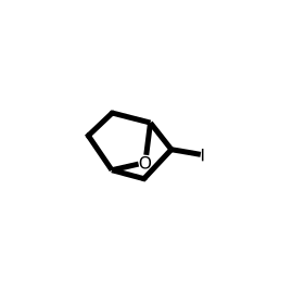 IC1CC2CCC1O2